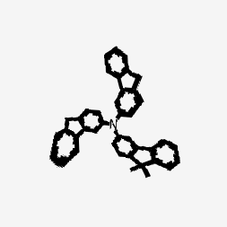 CC1(C)c2ccccc2-c2cc(N(c3ccc4c(c3)-c3ccccc3C4)c3ccc4c(c3)-c3ccccc3C4)ccc21